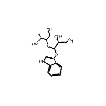 C[C@H](O)C(CO)OC(Oc1c[nH]c2ccccc12)[C@@H](O)CO